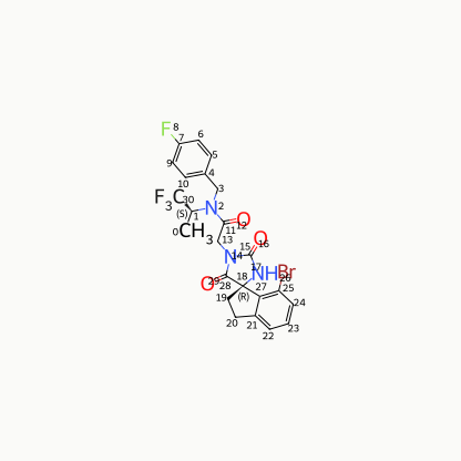 C[C@H](N(Cc1ccc(F)cc1)C(=O)CN1C(=O)N[C@@]2(CCc3cccc(Br)c32)C1=O)C(F)(F)F